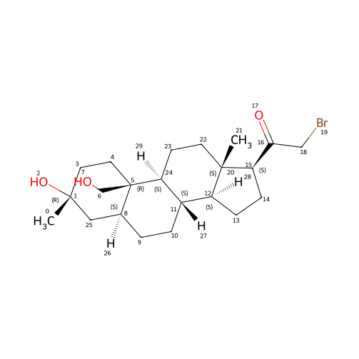 C[C@@]1(O)CC[C@@]2(CO)[C@@H](CC[C@H]3[C@@H]4CC[C@H](C(=O)CBr)[C@@]4(C)CC[C@@H]32)C1